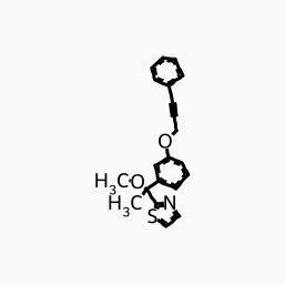 COC(C)(c1cccc(OCC#Cc2ccccc2)c1)c1nccs1